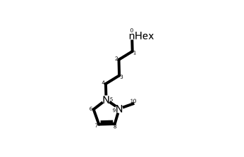 CCCCCCCCCCN1CC=CN1C